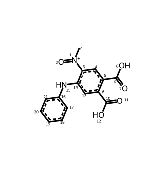 C[N+](=O)c1cc(C(=O)O)c(C(=O)O)cc1Nc1ccccc1